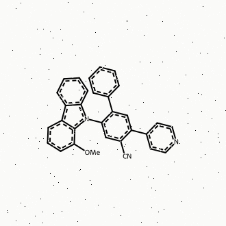 COc1cccc2c3ccccc3n(-c3cc(C#N)c(-c4ccncc4)cc3-c3ccccc3)c12